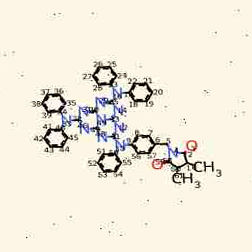 CC1C(=O)N(Cc2ccc(N(C3=NC4=NC(N(c5ccccc5)c5ccccc5)=NC5=NC(N(c6ccccc6)c6ccccc6)=NC(=N3)N54)c3ccccc3)cc2)C(=O)C1C